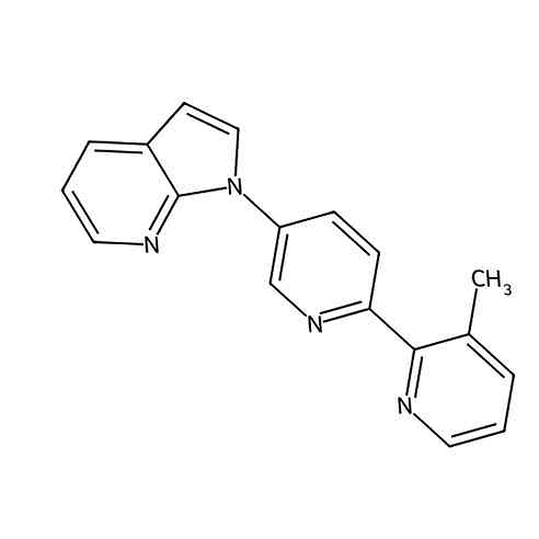 Cc1cccnc1-c1ccc(-n2ccc3cccnc32)cn1